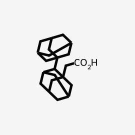 O=C(O)CC12CC3CC(CC(C3)C1C13CC4CC(CC(C4)C1)C3)C2